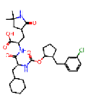 CC1(C)CC(CC(NC(=O)[C@H](CC2CCCCC2)NC(=O)OC2CCCC2Cc2cccc(Cl)c2)C(=O)O)C(=O)N1